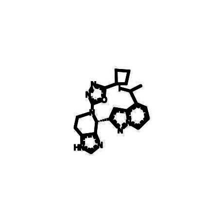 CC(I)c1cccn2nc([C@@H]3c4nc[nH]c4CCN3c3nnc(C4CCC4)o3)cc12